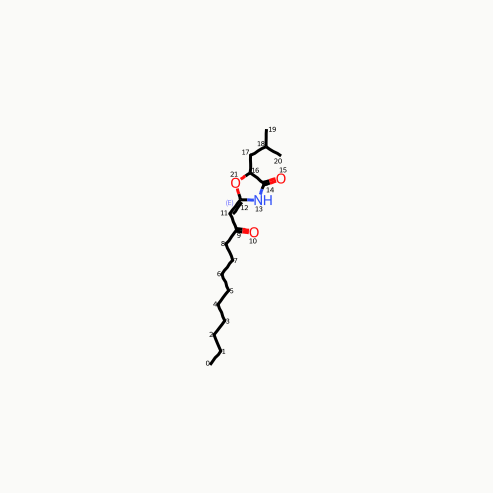 CCCCCCCCCC(=O)/C=C1\NC(=O)C(CC(C)C)O1